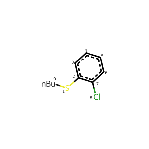 [CH2]CCCSc1ccccc1Cl